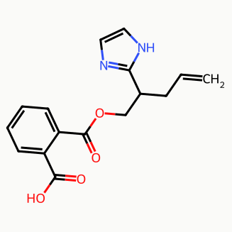 C=CCC(COC(=O)c1ccccc1C(=O)O)c1ncc[nH]1